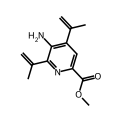 C=C(C)c1cc(C(=O)OC)nc(C(=C)C)c1N